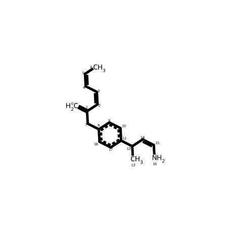 C=C(/C=C\C=C/C)Cc1ccc(C(C)/C=C\N)cc1